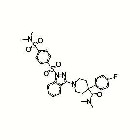 CN(C)C(=O)C1(c2ccc(F)cc2)CCN(c2nn(S(=O)(=O)c3ccc(S(=O)(=O)N(C)C)cc3)c3ccccc23)CC1